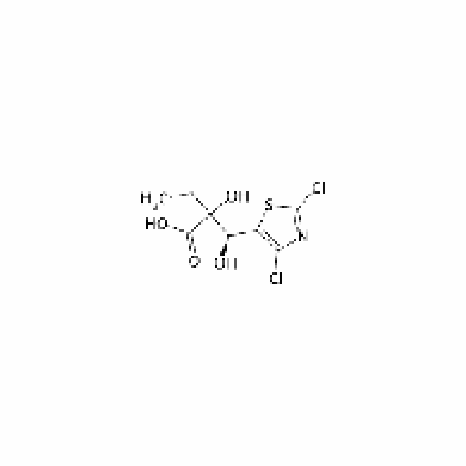 CCC(O)(C(=O)O)[C@H](O)c1sc(Cl)nc1Cl